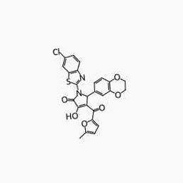 Cc1ccc(C(=O)C2=C(O)C(=O)N(c3nc4ccc(Cl)cc4s3)C2c2ccc3c(c2)OCCO3)o1